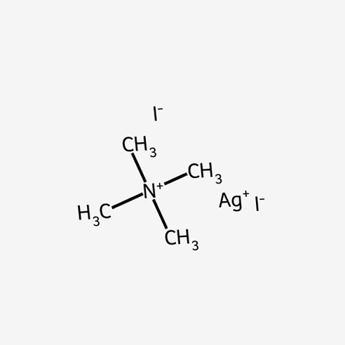 C[N+](C)(C)C.[Ag+].[I-].[I-]